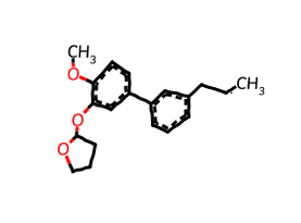 C[CH]Cc1cccc(-c2ccc(OC)c(OC3CCCO3)c2)c1